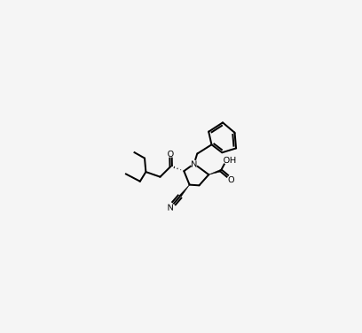 CCC(CC)CC(=O)[C@H]1[C@H](C#N)C[C@H](C(=O)O)N1Cc1ccccc1